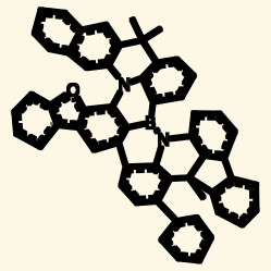 CC1(C)c2cc3ccccc3cc2N2c3c(cccc31)B1c3c(cc4c(oc5ccccc54)c32)-c2ccc(-c3ccccc3)c3c2N1c1cccc2c1C3(C)c1ccccc1-2